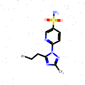 CC(C)CCc1nc(C(F)(F)F)nn1-c1ccc(S(N)(=O)=O)cn1